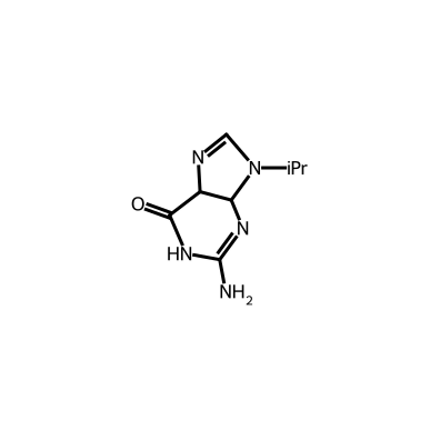 CC(C)N1C=NC2C(=O)NC(N)=NC21